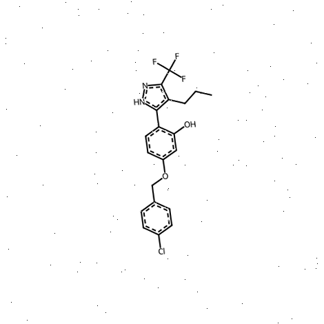 CCCc1c(C(F)(F)F)n[nH]c1-c1ccc(OCc2ccc(Cl)cc2)cc1O